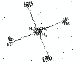 CCO[Si](CCCCCCCCCCCCCC[Si]1(C)O[Si](C)(CCCCCCCCCCCCCC[Si](OCC)(OCC)OCC)O[Si](C)(CCCCCCCCCCCCCC[Si](OCC)(OCC)OCC)O[Si](C)(CCCCCCCCCCCCCC[Si](OCC)(OCC)OCC)O1)(OCC)OCC